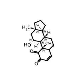 C[C@@]12CCC[C@H]1[C@@H]1CCC3C=CC(=O)C(=O)[C@]3(C)[C@H]1[C@H](O)C2